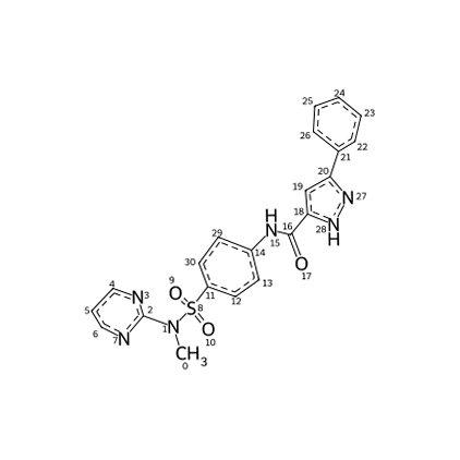 CN(c1ncccn1)S(=O)(=O)c1ccc(NC(=O)c2cc(-c3ccccc3)n[nH]2)cc1